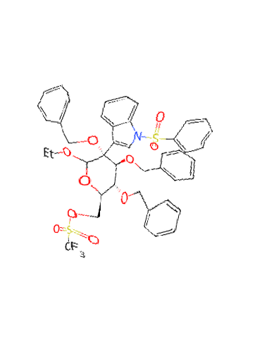 CCOC1O[C@H](COS(=O)(=O)C(F)(F)F)[C@@H](OCc2ccccc2)[C@H](OCc2ccccc2)[C@]1(OCc1ccccc1)c1cn(S(=O)(=O)c2ccccc2)c2ccccc12